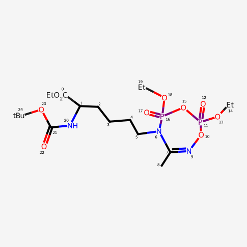 CCOC(=O)C(CCCCN1C(C)=NOP(=O)(OCC)OP1(=O)OCC)NC(=O)OC(C)(C)C